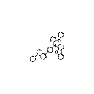 c1ccc(-c2cccc3c(-c4ccc(N(c5cccc6c5oc5ccccc56)c5cccc6c5oc5ccccc56)cc4)cccc23)cc1